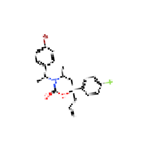 C=CC[C@]1(c2ccc(F)cc2)C[C@H](C)N([C@@H](C)c2ccc(Br)cc2)C(=O)O1